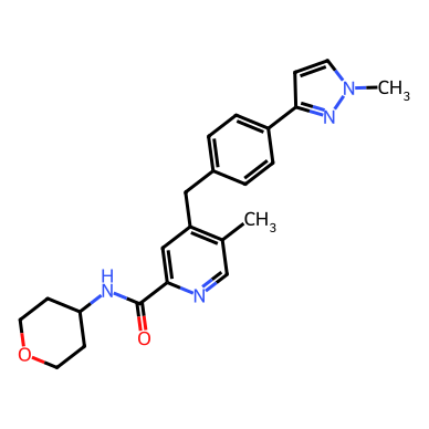 Cc1cnc(C(=O)NC2CCOCC2)cc1Cc1ccc(-c2ccn(C)n2)cc1